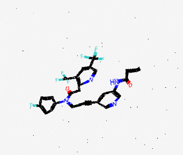 C=CC(=O)Nc1cncc(C#CCN(C(=O)Cc2ncc(C(F)(F)F)cc2C(F)(F)F)c2ccc(F)cc2)c1